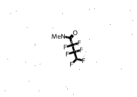 CNC(=O)C(F)(F)C(F)(F)C(F)F